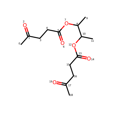 CC(=O)CCC(=O)OC(C)C(C)OC(=O)CCC(C)=O